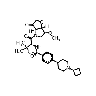 CO[C@H]1CN(C(=O)[C@@H](NC(=O)c2ccc(C3CCN(C4CCC4)CC3)cc2)C(C)(C)C)[C@@H]2C(=O)CO[C@H]12